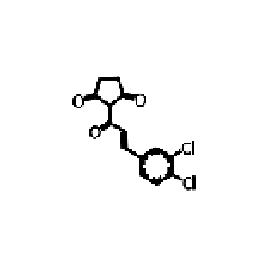 O=C(C=Cc1ccc(Cl)c(Cl)c1)C1C(=O)CCC1=O